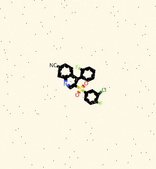 N#Cc1ccc2c(-c3ccccc3F)c(S(=O)(=O)c3ccc(F)c(Cl)c3)cnc2c1